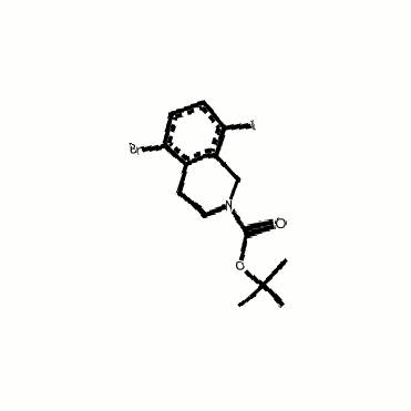 CC(C)(C)OC(=O)N1CCc2c(Br)ccc(I)c2C1